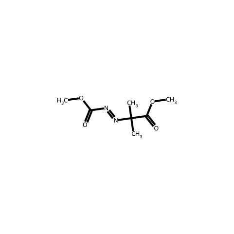 COC(=O)N=NC(C)(C)C(=O)OC